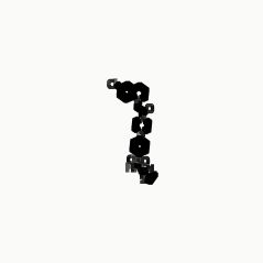 O=C(CN1CCCc2cc(Cl)ccc21)N1CCN(c2ccc(S(=O)(=O)Nc3nccs3)cc2)CC1